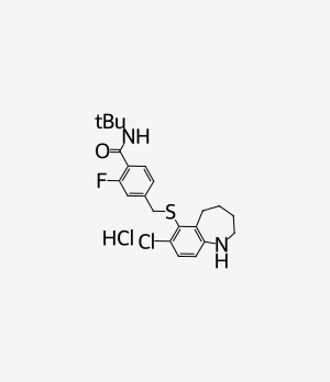 CC(C)(C)NC(=O)c1ccc(CSc2c(Cl)ccc3c2CCCCN3)cc1F.Cl